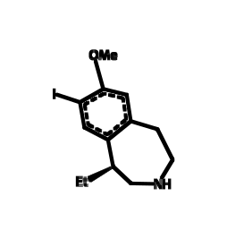 CC[C@@H]1CNCCc2cc(OC)c(I)cc21